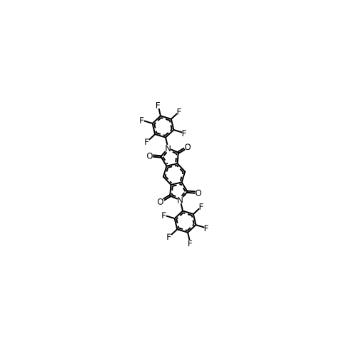 O=c1c2cc3c(=O)n(-c4c(F)c(F)c(F)c(F)c4F)c(=O)c3cc2c(=O)n1-c1c(F)c(F)c(F)c(F)c1F